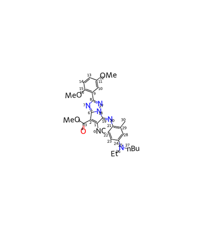 [C-]#[N+]C1=C(C(=O)OC)c2nc(-c3cc(OC)ccc3OC)nn2/C1=N/c1ccc(N(CC)CCCC)cc1C